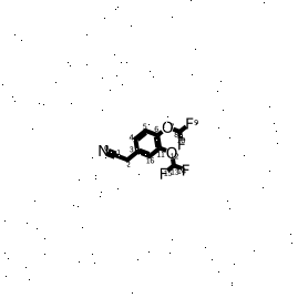 N#CCc1ccc(OC(F)F)c(OC(F)F)c1